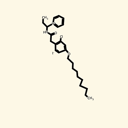 CCCCCCCCCCOc1ccc(CC(=O)NC(CC)[n+]2ccccc2)c(Cl)c1.[I-]